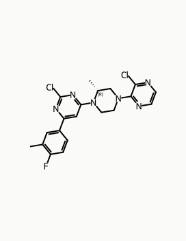 Cc1cc(-c2cc(N3CCN(c4nccnc4Cl)C[C@H]3C)nc(Cl)n2)ccc1F